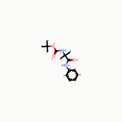 CC(C)(C)OC(=O)NC(C)(C)C(=O)Nc1[c]cccc1